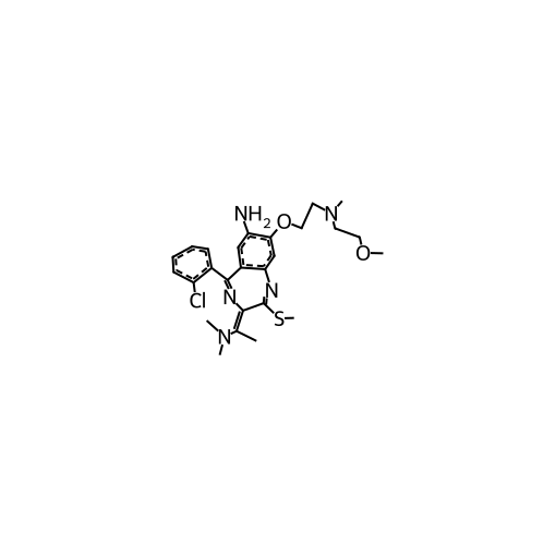 COCCN(C)CCOc1cc2c(cc1N)C(c1ccccc1Cl)=N/C(=C(/C)N(C)C)C(SC)=N2